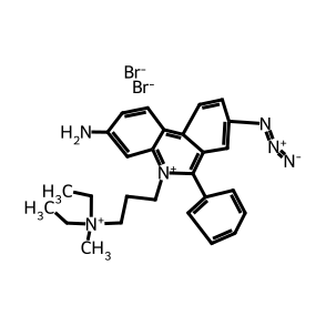 CC[N+](C)(CC)CCC[n+]1c(-c2ccccc2)c2cc(N=[N+]=[N-])ccc2c2ccc(N)cc21.[Br-].[Br-]